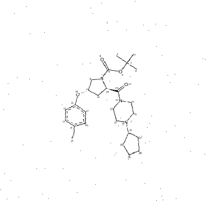 CC(C)(C)OC(=O)N1C[C@@H](Oc2ccc(F)cc2)C[C@@H]1C(=O)N1CCN(C2CCCC2)CC1